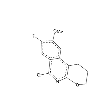 COc1cc2c3c(nc(Cl)c2cc1F)OCCC3